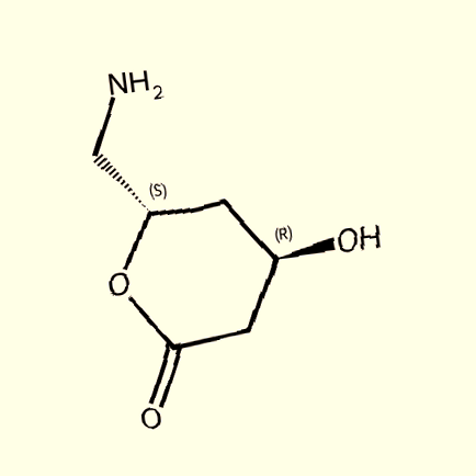 NC[C@@H]1C[C@@H](O)CC(=O)O1